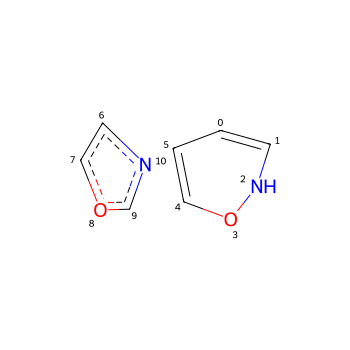 C1=CNOC=C1.c1cocn1